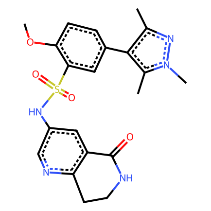 COc1ccc(-c2c(C)nn(C)c2C)cc1S(=O)(=O)Nc1cnc2c(c1)C(=O)NCC2